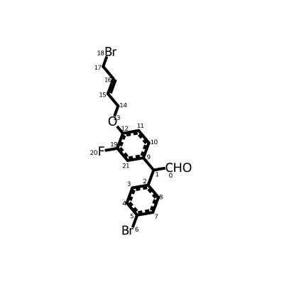 O=CC(c1ccc(Br)cc1)c1ccc(OC/C=C/CBr)c(F)c1